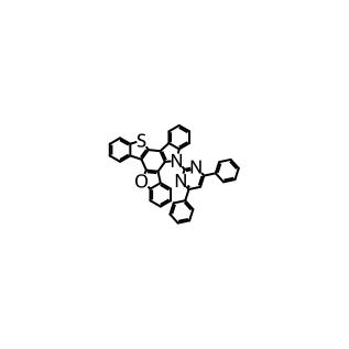 c1ccc(-c2cc(-c3ccccc3)nc(-n3c4ccccc4c4c5sc6ccccc6c5c5oc6ccccc6c5c43)n2)cc1